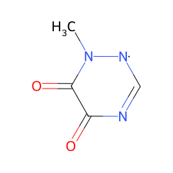 CN1[N]C=NC(=O)C1=O